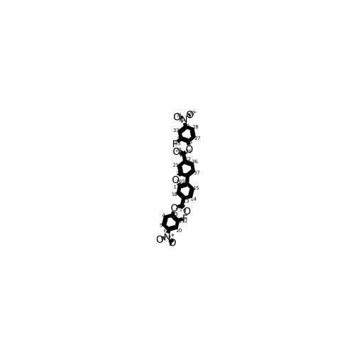 O=C(Oc1ccc([N+](=O)[O-])cc1F)c1ccc2c(c1)oc1cc(C(=O)Oc3ccc([N+](=O)[O-])cc3F)ccc12